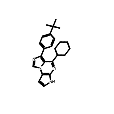 CC(C)(C)c1ccc(-c2ncn3c2c(C2CCCCC2)nc2[nH]ccc23)cc1